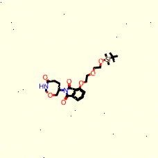 CC(C)(C)[Si](C)(C)OCCOCCOc1cccc2c1C(=O)N(C1CCC(=O)NCOC1)C2=O